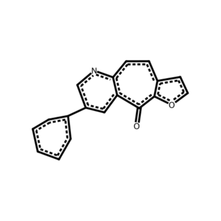 O=c1c2cc(-c3ccccc3)cnc2ccc2ccoc12